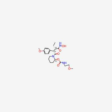 CC[C@H](C(=O)NO)[C@H](C(=O)N1CCCC[C@@H]1OC(=O)NCCOC)c1ccc(OC)cc1